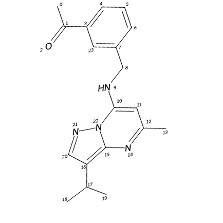 CC(=O)c1cccc(CNc2cc(C)nc3c(C(C)C)cnn23)c1